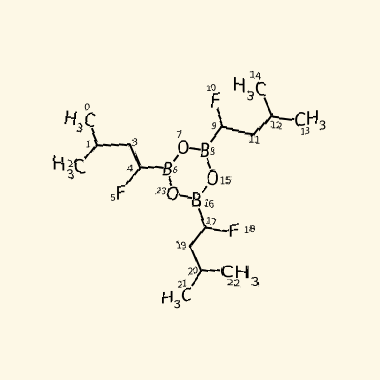 CC(C)CC(F)B1OB(C(F)CC(C)C)OB(C(F)CC(C)C)O1